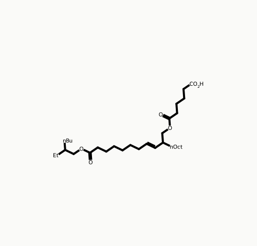 CCCCCCCCC(/C=C/CCCCCCC(=O)OCC(CC)CCCC)COC(=O)CCCCC(=O)O